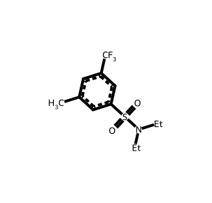 CCN(CC)S(=O)(=O)c1cc(C)cc(C(F)(F)F)c1